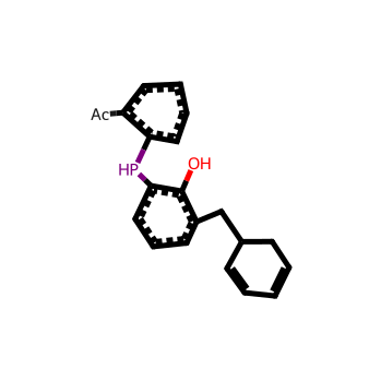 CC(=O)c1ccccc1Pc1cccc(CC2C=CC=CC2)c1O